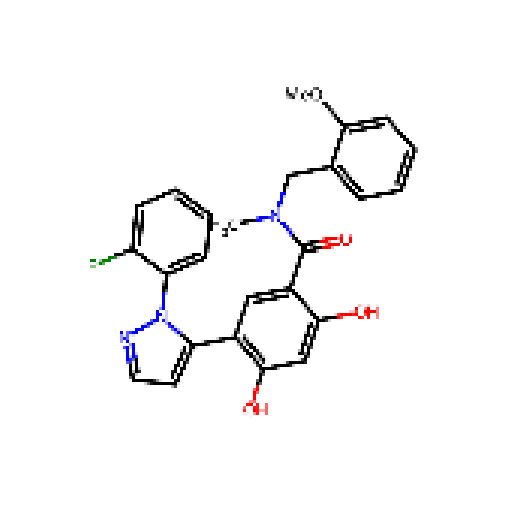 COc1ccccc1CN(C)C(=O)c1cc(-c2ccnn2-c2ccccc2F)c(O)cc1O